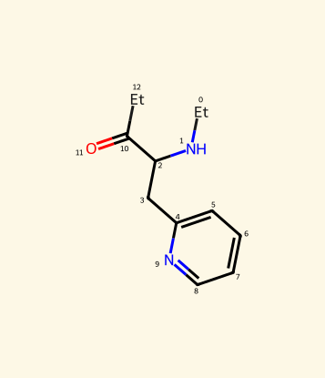 CCNC(Cc1ccccn1)C(=O)CC